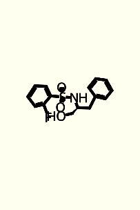 O=S(=O)(N[C@H](CO)Cc1ccccc1)c1ccccc1F